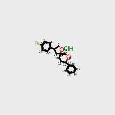 Cl.Fc1ccc(C2COC3(CCC(c4ccccc4)OC3)C2)cc1